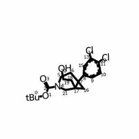 CC(C)(C)OC(=O)N1CCC2(c3ccc(Cl)c(Cl)c3)CC2(CCO)C1